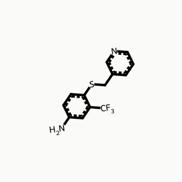 Nc1ccc(SCc2cccnc2)c(C(F)(F)F)c1